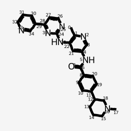 Cc1ncc(NC(=O)c2ccc(C3CCCN(C)C3)cc2)cc1Nc1nccc(-c2cccnc2)n1